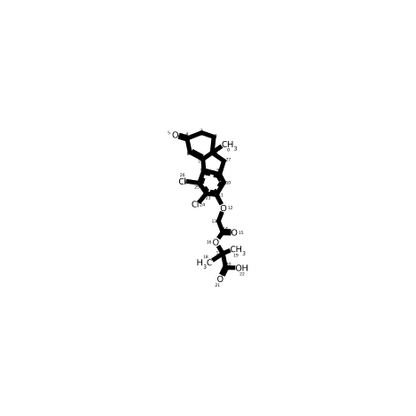 CC12CCC(=O)C=C1c1c(cc(OCC(=O)OC(C)(C)C(=O)O)c(Cl)c1Cl)C2